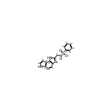 O=S(=O)(NCc1nc2cnc3[nH]ccc3c2[nH]1)c1ccccc1